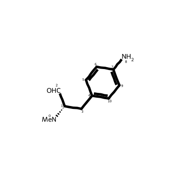 CN[C@H](C=O)Cc1ccc(N)cc1